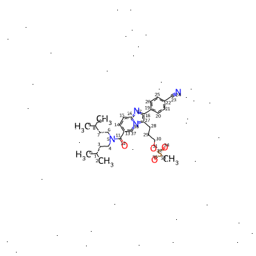 CC(C)CCN(CCC(C)C)C(=O)c1ccc2nc(-c3ccc(C#N)cc3)c(CCCOS(C)(=O)=O)n2c1